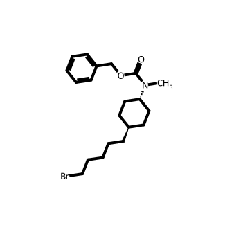 CN(C(=O)OCc1ccccc1)[C@H]1CC[C@H](CCCCCBr)CC1